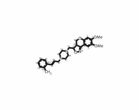 COc1cc2c(cc1OC)C1=NOC(CN3CCN(C/C=C/c4ccccc4C)CC3)C1CO2